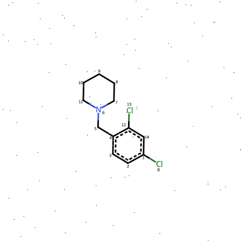 Clc1ccc(CN2CCCCC2)c(Cl)c1